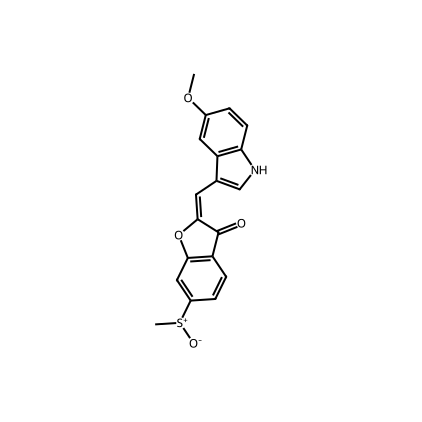 COc1ccc2[nH]cc(C=C3Oc4cc([S+](C)[O-])ccc4C3=O)c2c1